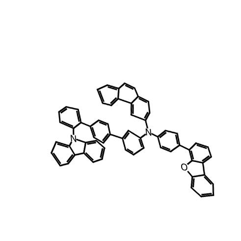 c1cc(-c2ccc(-c3ccccc3-n3c4ccccc4c4ccccc43)cc2)cc(N(c2ccc(-c3cccc4c3oc3ccccc34)cc2)c2ccc3ccc4ccccc4c3c2)c1